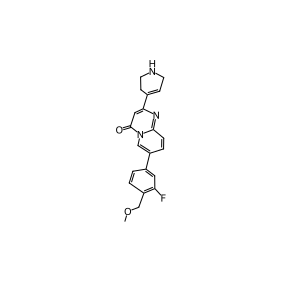 COCc1ccc(-c2ccc3nc(C4=CCNCC4)cc(=O)n3c2)cc1F